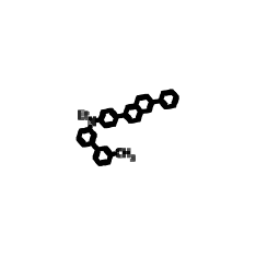 CCN(c1ccc(-c2ccc3cc(-c4ccccc4)ccc3c2)cc1)c1cccc(-c2cccc(C)c2)c1